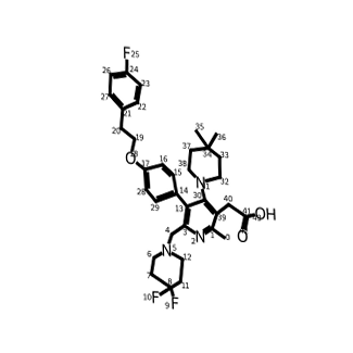 Cc1nc(CN2CCC(F)(F)CC2)c(-c2ccc(OCCc3ccc(F)cc3)cc2)c(N2CCC(C)(C)CC2)c1CC(=O)O